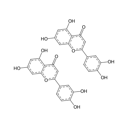 O=c1cc(-c2ccc(O)c(O)c2)oc2cc(O)cc(O)c12.O=c1cc(-c2ccc(O)c(O)c2)oc2cc(O)cc(O)c12